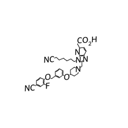 N#CCCCCCCn1c(CN2CCC(Oc3cccc(COc4ccc(C#N)cc4F)c3)CC2)nc2ccc(CC(=O)O)nc21